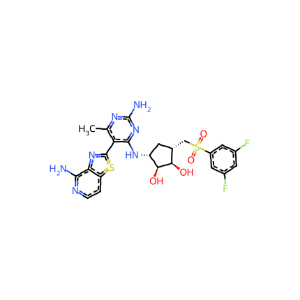 Cc1nc(N)nc(N[C@@H]2C[C@H](CS(=O)(=O)c3cc(F)cc(F)c3)[C@@H](O)[C@H]2O)c1-c1nc2c(N)nccc2s1